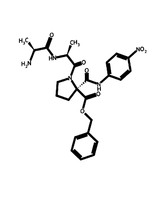 C[C@H](N)C(=O)N[C@@H](C)C(=O)N1CCC[C@]1(C(=O)Nc1ccc([N+](=O)[O-])cc1)C(=O)OCc1ccccc1